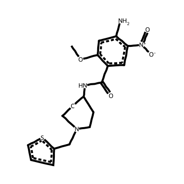 COc1cc(N)c([N+](=O)[O-])cc1C(=O)NC1CCN(Cc2cccs2)CC1